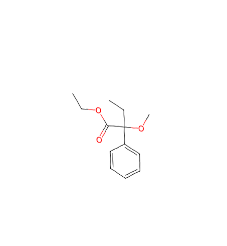 CCOC(=O)C(CC)(OC)c1ccccc1